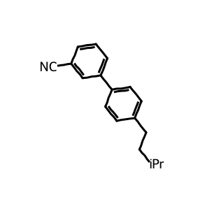 CC(C)CCc1ccc(-c2cccc(C#N)c2)cc1